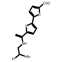 C=C(NCC(CC)CCCC)c1ccc(-c2ccc(C=O)s2)s1